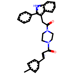 Cc1ccc(/C=C/C(=O)N2CCN(C(=O)Cc3c(-c4ccccc4)[nH]c4ccccc34)CC2)cc1